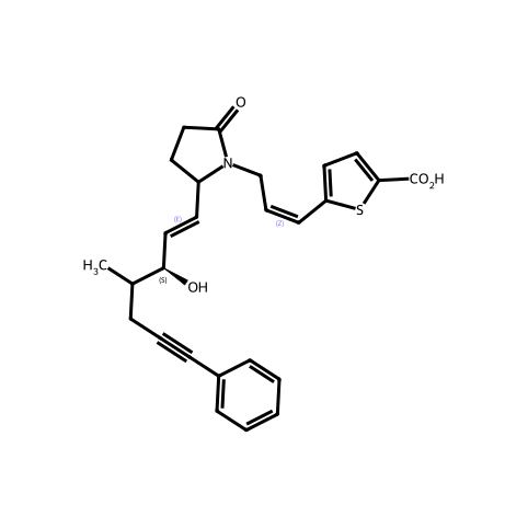 CC(CC#Cc1ccccc1)[C@H](O)/C=C/C1CCC(=O)N1C/C=C\c1ccc(C(=O)O)s1